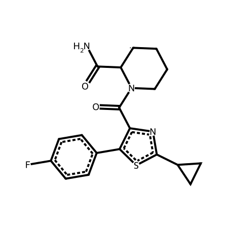 NC(=O)C1[CH]CCCN1C(=O)c1nc(C2CC2)sc1-c1ccc(F)cc1